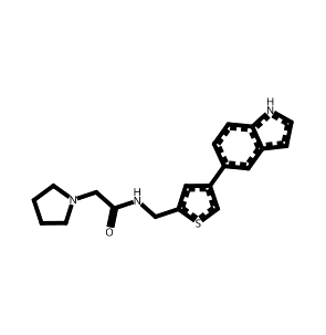 O=C(CN1CCCC1)NCc1cc(-c2ccc3[nH]ccc3c2)cs1